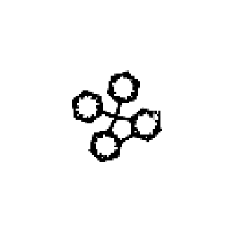 c1ccc(C2(c3ccccc3)c3ccccc3-c3ccncc32)cc1